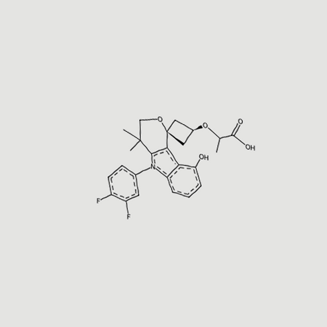 CC(O[C@H]1C[C@]2(C1)OCC(C)(C)c1c2c2c(O)cccc2n1-c1ccc(F)c(F)c1)C(=O)O